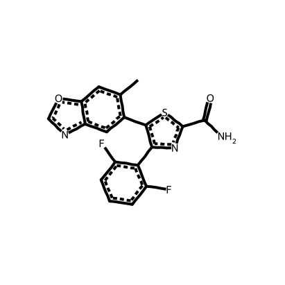 Cc1cc2ocnc2cc1-c1sc(C(N)=O)nc1-c1c(F)cccc1F